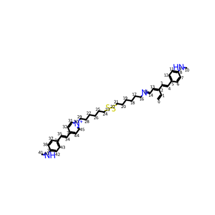 C=CC(/C=C/c1ccc(NC)cc1)=C\C=N\CCCCCCSSCCCCCC[n+]1ccc(/C=C/c2ccc(NC)cc2)cc1